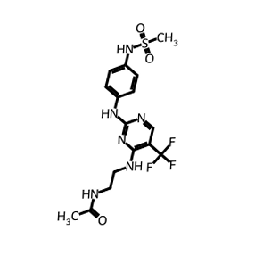 CC(=O)NCCNc1nc(Nc2ccc(NS(C)(=O)=O)cc2)ncc1C(F)(F)F